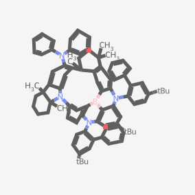 CC(C)(C)c1ccc(N2c3ccc4cc3B3c5cc6c(cc5N(c5ccc(C(C)(C)C)cc5-c5ccccc5)c5cc(C(C)(C)C)cc2c53)C(C)(C)CCC6(C)c2cc3c(cc2N(c2ccccc2)c2ccccc2)C2(C)CCCCC2(C)N43)c(-c2ccccc2)c1